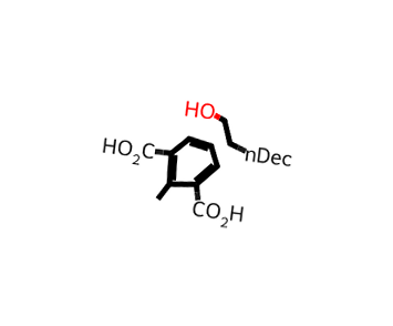 CCCCCCCCCCCCO.Cc1c(C(=O)O)cccc1C(=O)O